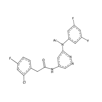 CC(=O)N(c1cc(F)cc(F)c1)c1cc(NC(=O)Cc2ccc(F)cc2Cl)cnn1